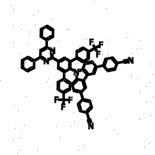 N#Cc1ccc(-c2ccc3c(c2)c2cc(-c4ccc(C#N)cc4)ccc2n3-c2c(-c3ccc(C(F)(F)F)cc3)cc(-c3nc(-c4ccccc4)cc(-c4ccccc4)n3)cc2-c2ccc(C(F)(F)F)cc2)cc1